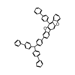 c1ccc(-c2ccc(-c3c4oc5cc(-c6ccc(C(c7ccc(-c8ccccc8)cc7)c7ccc(-c8ccccc8)cc7)cc6)ccc5c4cc4oc5ccccc5c34)cc2)cc1